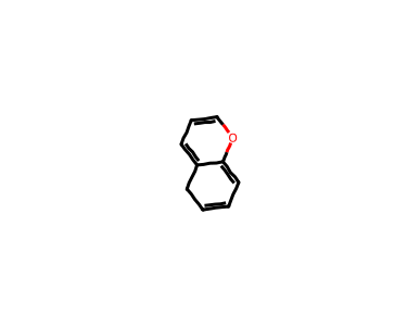 C1=CCC2=CC=COC2=C1